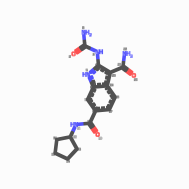 NC(=O)Nc1[nH]c2cc(C(=O)NC3CCCC3)ccc2c1C(N)=O